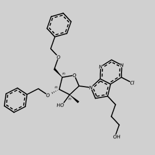 C[C@]1(O)C(n2cc(CCCO)c3c(Cl)ncnc32)O[C@H](COCc2ccccc2)[C@H]1OCc1ccccc1